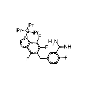 CC(C)[Si](C(C)C)(C(C)C)n1ccc2c(F)c(Cc3ccc(F)c(C(=N)N)c3)c(F)c(F)c21